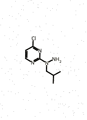 CC(C)CN(N)c1nccc(Cl)n1